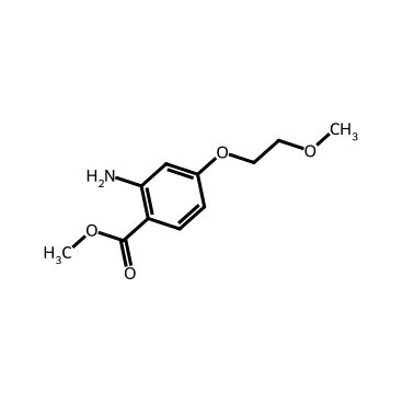 COCCOc1ccc(C(=O)OC)c(N)c1